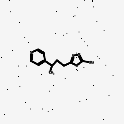 CC(CCc1nnc(C(C)(C)C)s1)c1ccncc1